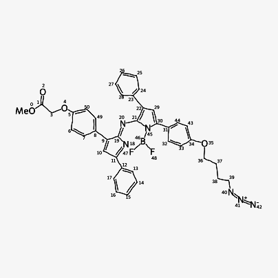 COC(=O)COc1ccc(C2=CC(c3ccccc3)=N/C2=N\c2c(-c3ccccc3)cc(-c3ccc(OCCCCN=[N+]=[N-])cc3)n2B(F)F)cc1